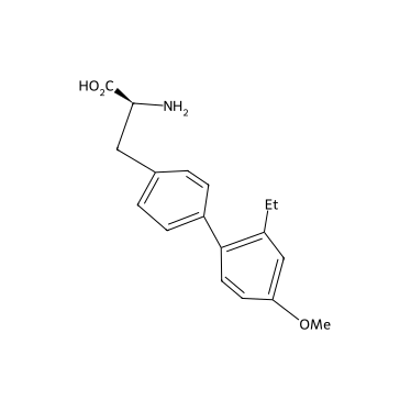 CCc1cc(OC)ccc1-c1ccc(C[C@H](N)C(=O)O)cc1